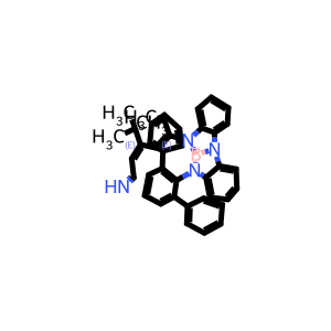 CC/C(=C\C(=C/C=N)C(C)(C)C)N1B2N(c3ccccc31)c1ccccc1N2c1c(-c2ccccc2)cccc1-c1ccccc1